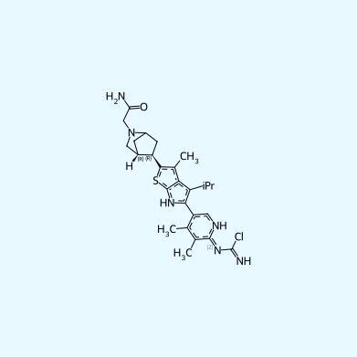 Cc1c(-c2[nH]c3sc([C@@H]4CC5C[C@H]4CN5CC(N)=O)c(C)c3c2C(C)C)c[nH]/c(=N\C(=N)Cl)c1C